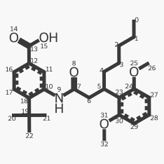 CCCCCC(CC(=O)Nc1cc(C(=O)O)ccc1C(C)(C)C)c1c(OC)cccc1OC